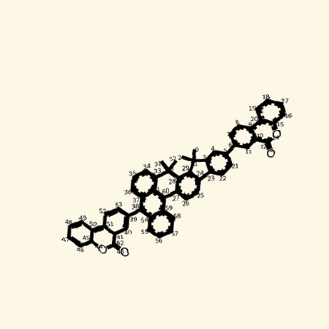 CC1(C)c2cc(-c3ccc4c(c3)c(=O)oc3ccccc34)ccc2-c2ccc3c(c21)C(C)(C)c1cccc2c(C4=CC5C(=O)OC6C=CC=CC6=C5C=C4)c4ccccc4c-3c12